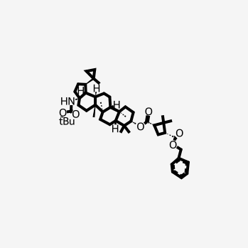 CC(C)(C)OC(=O)N[C@]12CC[C@@H](C3(C)CC3)[C@@H]1[C@H]1CC[C@@H]3[C@@]4(C)CC[C@H](OC(=O)[C@H]5C[C@@H](C(=O)OCc6ccccc6)C5(C)C)C(C)(C)[C@@H]4CC[C@@]3(C)[C@]1(C)CC2